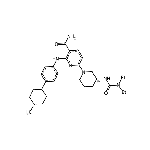 CCN(CC)C(=O)N[C@@H]1CCCN(c2cnc(C(N)=O)c(Nc3ccc(C4CCN(C)CC4)cc3)n2)C1